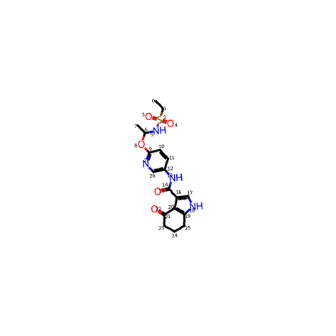 CCS(=O)(=O)NC(C)Oc1ccc(NC(=O)c2c[nH]c3c2C(=O)CCC3)cn1